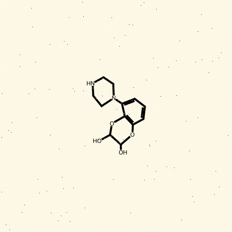 OC1Oc2cccc(N3CCNCC3)c2OC1O